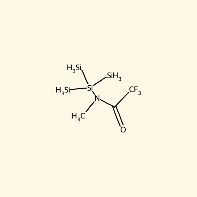 CN(C(=O)C(F)(F)F)[Si]([SiH3])([SiH3])[SiH3]